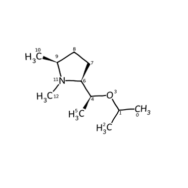 CC(C)O[C@@H](C)[C@@H]1CC[C@H](C)N1C